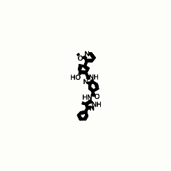 COc1ncccc1-c1ccc(O)c(-c2nc3cc(C(=O)Nc4[nH]nc(-c5ccccc5)c4C)ccc3[nH]2)c1